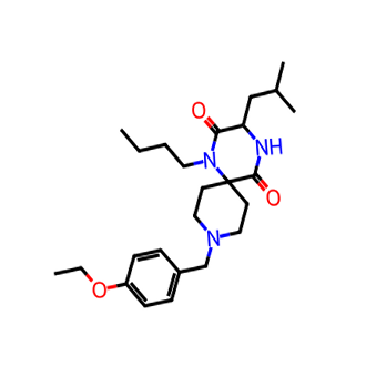 CCCCN1C(=O)C(CC(C)C)NC(=O)C12CCN(Cc1ccc(OCC)cc1)CC2